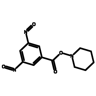 O=Nc1cc(N=O)cc(C(=O)ON2CCCCC2)c1